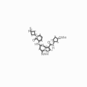 CNc1cc(Nc2cccn(C3CC(F)(F)C3)c2=O)nc2c(C(=O)NC3CC[C@H](OC)C3)cnn12